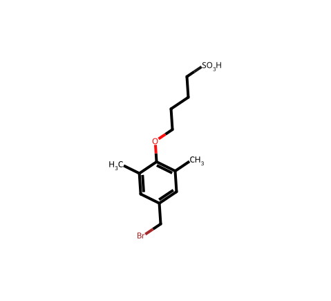 Cc1cc(CBr)cc(C)c1OCCCCS(=O)(=O)O